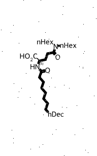 CCCCCCCCCCCCCCCCCC(=O)N[C@@H](CCC(=O)N(CCCCCC)CCCCCC)C(=O)O